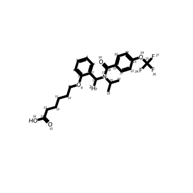 [2H]C(c1ccccc1OCCCCCC(=O)O)N(C(=O)c1ccc(OC(F)(F)F)cc1)C(C)C